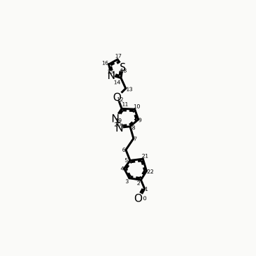 O=Cc1ccc(CCc2ccc(OCc3nccs3)nn2)cc1